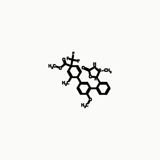 COC(=O)C1(C(F)(F)F)C=CC(c2ccc(OC)c(-c3ccccc3[C@H]3OC(=O)N[C@@H]3C)c2)C(C)=C1